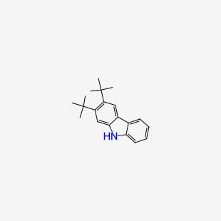 CC(C)(C)c1cc2[nH]c3ccccc3c2cc1C(C)(C)C